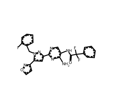 Nc1nc(-c2cc(-c3ccon3)n(Cc3ccccc3I)n2)ncc1NC(=O)C(F)(F)c1ccccc1